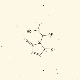 CCCC(C(C)O)N1C(=O)C=CC1=O